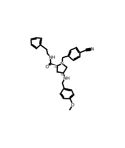 COc1ccc(CN[C@H]2C[C@@H](C(=O)NCCc3ccccc3)N(Cc3ccc(C#N)cc3)C2)cc1